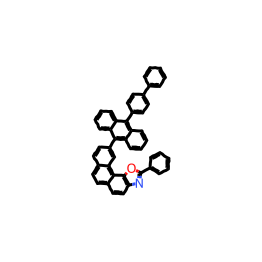 c1ccc(-c2ccc(-c3c4ccccc4c(-c4ccc5ccc6ccc7nc(-c8ccccc8)oc7c6c5c4)c4ccccc34)cc2)cc1